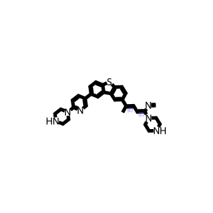 C=N/C(=C\C=C(/C)c1ccc2sc3ccc(-c4ccc(N5CCNCC5)nc4)cc3c2c1)N1CCNCC1